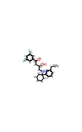 CC(C)Cc1cccc(C2(NCC(O)CC(=O)c3cc(F)cc(F)c3)CCCCC2)c1